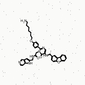 C[C@@H](Nc1cnc(-c2ccc(OCCCCCCCN)cc2)n(CC(=O)NCc2cc3cnccc3[nH]2)c1=O)c1ccc2oc3ccccc3c2c1